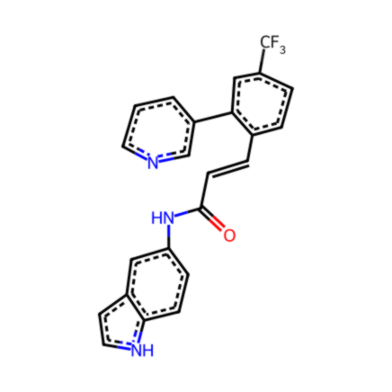 O=C(C=Cc1ccc(C(F)(F)F)cc1-c1cccnc1)Nc1ccc2[nH]ccc2c1